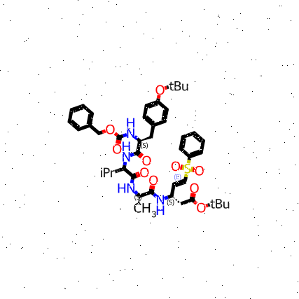 CC(C)C(NC(=O)[C@H](Cc1ccc(OC(C)(C)C)cc1)NC(=O)OCc1ccccc1)C(=O)N[C@@H](C)C(=O)N[C@H](/C=C/S(=O)(=O)c1ccccc1)CC(=O)OC(C)(C)C